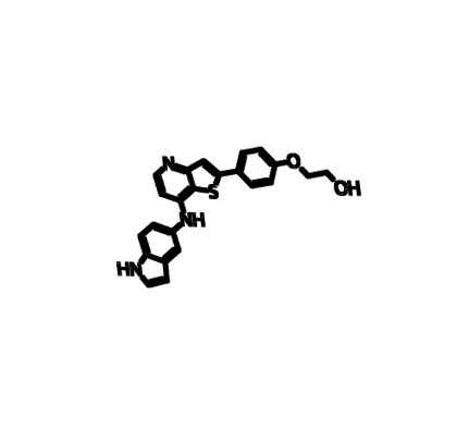 OCCOc1ccc(-c2cc3nccc(Nc4ccc5[nH]ccc5c4)c3s2)cc1